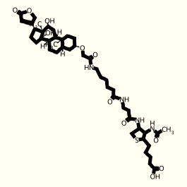 CC(=O)NC1C(NC(=O)CCNC(=O)CCCCCNC(=O)CO[C@H]2CC[C@@]3(C)[C@H](CC[C@@H]4[C@@H]3C[C@@H](O)[C@]3(C)[C@@H](C5=CC(=O)OC5)CC[C@]43O)C2)CSC1CCCCC(=O)O